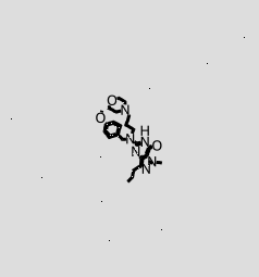 CCCc1nn(C)c2c(=O)[nH]c(N(CCCN3CCOCC3)Cc3ccc(OC)cc3)nc12